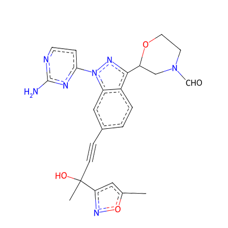 Cc1cc(C(C)(O)C#Cc2ccc3c(C4CN(C=O)CCO4)nn(-c4ccnc(N)n4)c3c2)no1